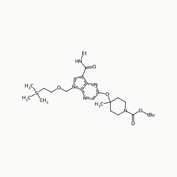 CCNC(=O)c1cn(COCC[Si](C)(C)C)c2ncc(OC3(C)CCN(C(=O)OC(C)(C)C)CC3)nc12